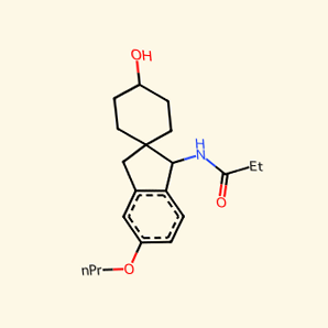 CCCOc1ccc2c(c1)CC1(CCC(O)CC1)C2NC(=O)CC